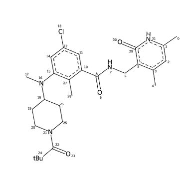 Cc1cc(C)c(CNC(=O)c2cc(Cl)cc(N(C)C3CCN(C(=O)C(C)(C)C)CC3)c2C)c(=O)[nH]1